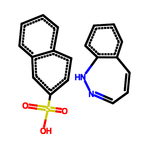 C1=Cc2ccccc2NN=C1.O=S(=O)(O)c1ccc2ccccc2c1